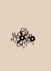 CCc1c(N(C)Cc2ccccc2)cc(C(C)(C)CC)c(O)c1C(C)(C)CC